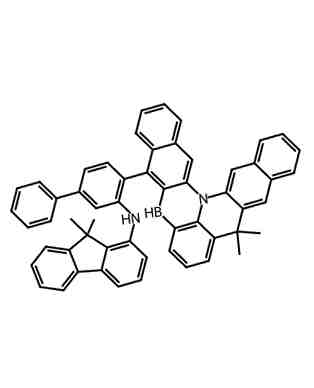 CC1(C)c2cc3ccccc3cc2N2c3cc4ccccc4c(-c4ccc(-c5ccccc5)cc4Nc4cccc5c4C(C)(C)c4ccccc4-5)c3Bc3cccc1c32